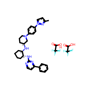 Cc1ccn(-c2ccc(N3CCC[C@H](N[C@@H]4CCCC[C@H]4Nc4nccc(-c5ccccc5)n4)C3)cc2)n1.O=C(O)C(F)(F)F.O=C(O)C(F)(F)F